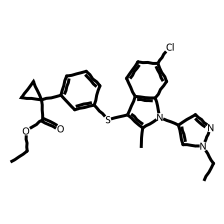 CCOC(=O)C1(c2cccc(Sc3c(C)n(-c4cnn(CC)c4)c4cc(Cl)ccc34)c2)CC1